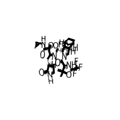 CC(C)(C)[C@H](NC(=O)C(F)(F)F)C(=O)N1C[C@H]2[C@@H]([C@H]1C(=O)NC(C[C@@H]1CCNC1=O)C(=O)C(=O)NC1CC1)[C@H]1C=C[C@@H]2C1